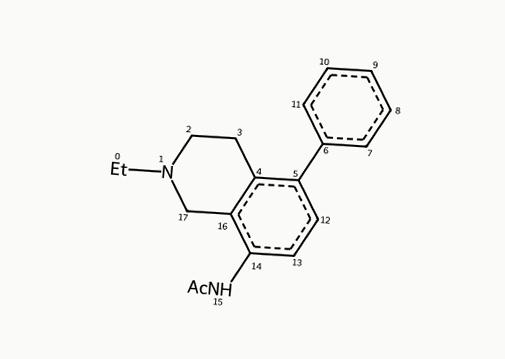 CCN1CCc2c(-c3ccccc3)ccc(NC(C)=O)c2C1